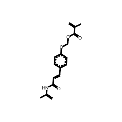 C=C(C)NC(=O)/C=C/c1ccc(OCOC(=O)C(=C)C)cc1